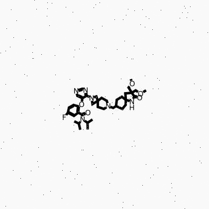 COCC1(COC)CC2(CCC(CN3CCC4(CC3)CN(c3ncncc3Oc3ccc(F)cc3C(=O)N(C(C)C)C(C)C)C4)CC2)NC1=O